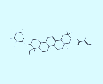 C/C=C(\C)C(=O)O[C@@H]1[C@@H](O)[C@@]2(CO)[C@H](CC1(C)C)C1=CCC3[C@@]4(C)CCC(O[C@@H]5O[C@H](C(=O)O)[C@@H](O)[C@H](O)[C@H]5O)C(C)(CO)C4CC[C@@]3(C)[C@]1(C)C[C@H]2OC(C)=O